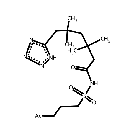 CC(=O)CCCS(=O)(=O)NC(=O)CC(C)(C)CC(C)(C)Cc1nnn[nH]1